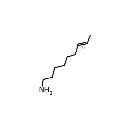 C/C=C/CCCCCCN